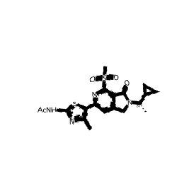 CC(=O)Nc1nc(C)c(-c2cc3c(c(S(C)(=O)=O)n2)C(=O)N([C@@H](C)C2CC2)C3)s1